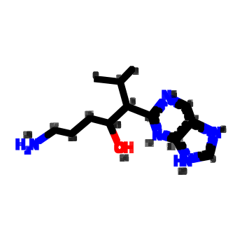 CC(C)C(c1ncc2nc[nH]c2n1)C(O)CCCN